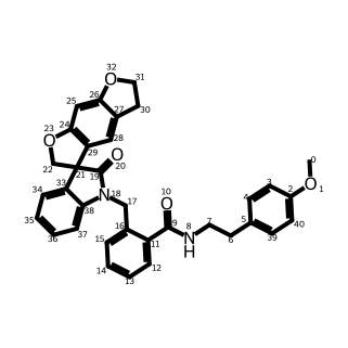 COc1ccc(CCNC(=O)c2ccccc2CN2C(=O)C3(COc4cc5c(cc43)CCO5)c3ccccc32)cc1